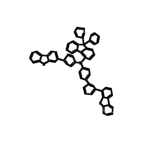 c1ccc(C2(c3ccccc3)c3ccccc3-c3c(N(c4ccc(-c5cccc(-c6cccc7c6sc6ccccc67)c5)cc4)c4ccc(-c5ccc6c(c5)sc5ccccc56)cc4)cccc32)cc1